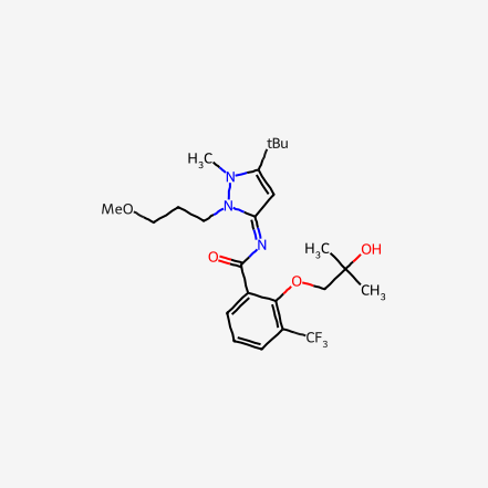 COCCCn1c(=NC(=O)c2cccc(C(F)(F)F)c2OCC(C)(C)O)cc(C(C)(C)C)n1C